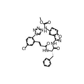 COC(=O)Nc1ccc2onc(NC(=O)[C@H](Cc3ccccc3)NC(=O)/C=C/c3cc(Cl)ccc3-n3cnnn3)c2c1